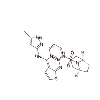 Cc1cc(Nc2nc(N[C@@H]3C[C@H]4CC[C@@H](C3)N4S(=O)(=O)c3ccccn3)nc3sccc23)n[nH]1